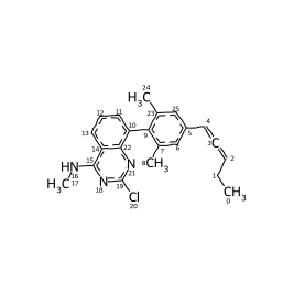 CCC=C=Cc1cc(C)c(-c2cccc3c(NC)nc(Cl)nc23)c(C)c1